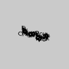 O=C(NC1CCc2ccc(C(=O)N3CCC4(CCN(Cc5ccc(F)cc5Cl)CC4)CC3)cc21)c1c(F)cccc1Cl